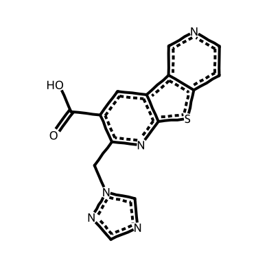 O=C(O)c1cc2c(nc1Cn1cncn1)sc1ccncc12